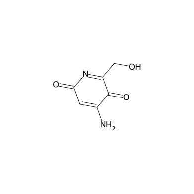 NC1=CC(=O)N=C(CO)C1=O